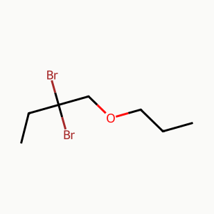 CCCOCC(Br)(Br)CC